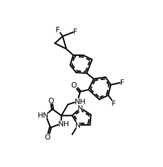 Cn1ccnc1C1(CNC(=O)c2cc(F)c(F)cc2-c2ccc(C3CC3(F)F)cc2)NC(=O)NC1=O